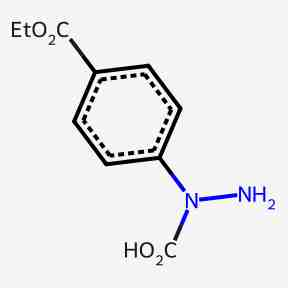 CCOC(=O)c1ccc(N(N)C(=O)O)cc1